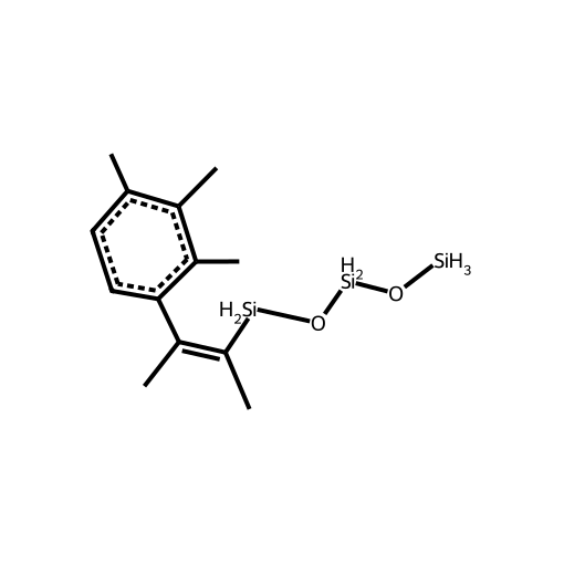 CC([SiH2]O[SiH2]O[SiH3])=C(C)c1ccc(C)c(C)c1C